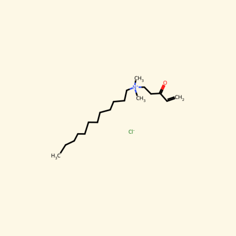 C=CC(=O)CC[N+](C)(C)CCCCCCCCCCCC.[Cl-]